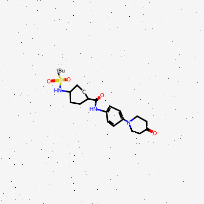 CC(C)(C)S(=O)(=O)NC1CCC(C(=O)Nc2ccc(N3CCC(=O)CC3)cc2)CC1